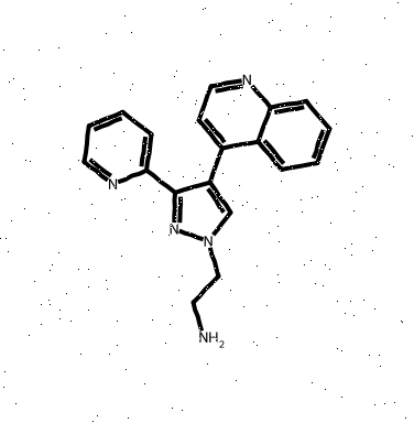 NCCn1cc(-c2ccnc3ccccc23)c(-c2ccccn2)n1